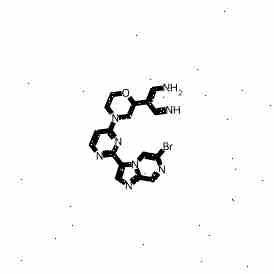 N=C/C(=C\N)C1CN(c2ccnc(-c3cnc4cnc(Br)cn34)n2)CCO1